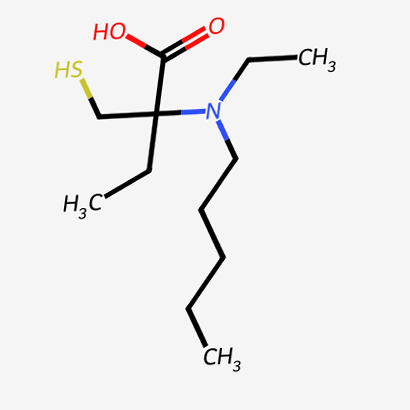 CCCCCN(CC)C(CC)(CS)C(=O)O